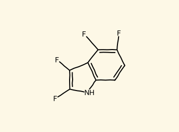 Fc1ccc2[nH]c(F)c(F)c2c1F